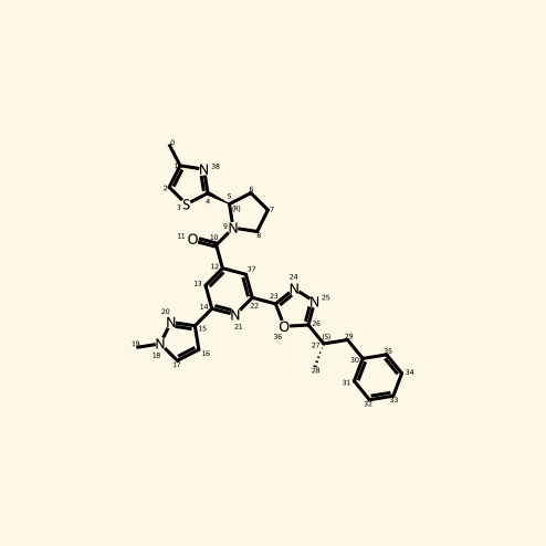 Cc1csc([C@H]2CCCN2C(=O)c2cc(-c3ccn(C)n3)nc(-c3nnc([C@@H](C)Cc4ccccc4)o3)c2)n1